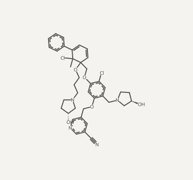 CC1(Cl)C(c2ccccc2)=CC=CC1(COc1cc(OCc2cncc(C#N)c2)c(CN2CC[C@@H](O)C2)cc1Cl)OCCCN1CC[C@@H](O)C1